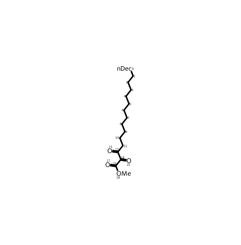 CCCCCCCCCCCCCCCCCCCCCC(=O)C(=O)C(=O)OC